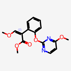 CO/C=C(\C(=O)OC)c1ccccc1Oc1nccc(OC)n1